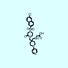 O=C(O)CNCC1(CN2CCN(S(=O)(=O)c3ccc4cc(Cl)ccc4c3)CC2=O)CCN(c2ccncc2)CC1